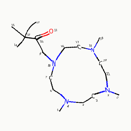 CN1CCN(C)CCN(CC(=O)C(C)(C)C)CCN(C)CC1